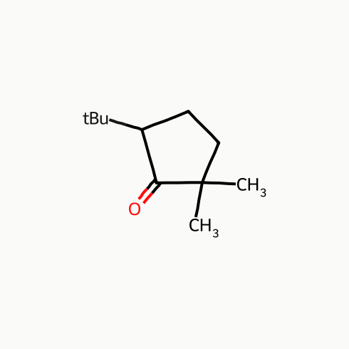 CC1(C)CCC(C(C)(C)C)C1=O